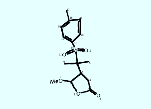 COC1OC(=O)CC1C(C)(C)S(=O)(=O)c1ccc(C)cc1